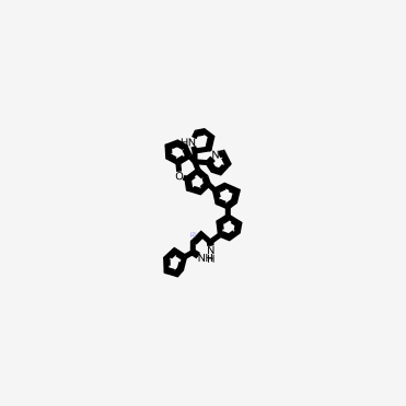 N=C(/C=C\C(=N)c1cccc(-c2cccc(-c3ccc4c(c3)C(c3ccccn3)(C3C=CC=CN3)c3ccccc3O4)c2)c1)c1ccccc1